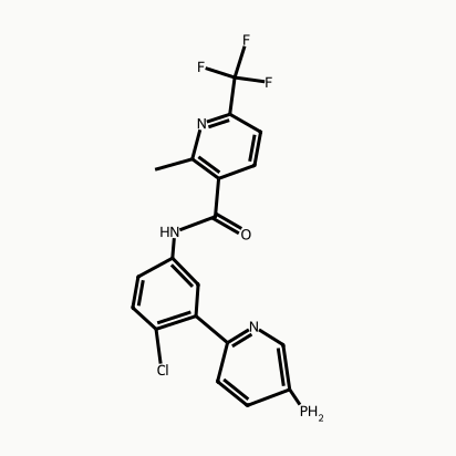 Cc1nc(C(F)(F)F)ccc1C(=O)Nc1ccc(Cl)c(-c2ccc(P)cn2)c1